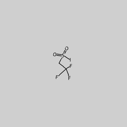 O=S(=O)(I)CC(F)(F)F